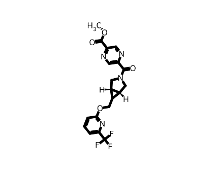 COC(=O)c1cnc(C(=O)N2C[C@@H]3C(COc4cccc(C(F)(F)F)n4)[C@@H]3C2)cn1